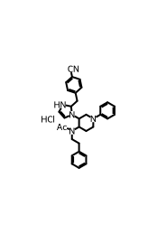 CC(=O)N(CCc1ccccc1)C1CCN(c2ccccc2)CC1N1C=CNC1Cc1ccc(C#N)cc1.Cl